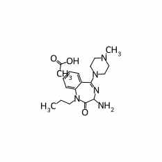 CC(=O)O.CCCN1C(=O)C(N)N=C(N2CCN(C)CC2)c2ccccc21